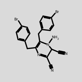 N#CC1=NC(Cc2ccc(Br)cc2)=C(Cc2ccc(Br)cc2)N(N)C1C#N